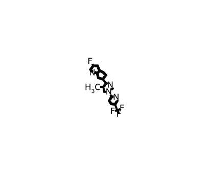 CC1=C(c2ccc3cc(F)cnc3c2)N=CN(c2ccc(C(F)(F)F)cn2)C1